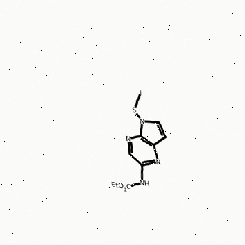 CCOC(=O)Nc1cnc2c(ccn2SI)n1